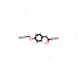 COCOc1ccc(CC(=O)OC)cc1